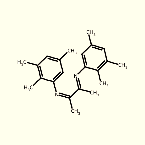 CC(=Nc1cc(C)cc(C)c1C)C(C)=Nc1cc(C)cc(C)c1C